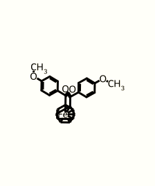 COc1ccc(C(=O)[C]23[CH]4[CH]5[CH]6[CH]2[Fe]56432789[CH]3[CH]2[CH]7[C]8(C(=O)c2ccc(OC)cc2)[CH]39)cc1